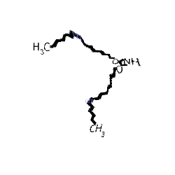 CCCCCC/C=C\CCCCCCCCOC1CNC[C@H]1OCCCCCCCC/C=C\CCCCCC